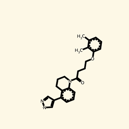 Cc1cccc(OCCCC(=O)N2CCCc3c(C4=C[N]N=C4)cccc32)c1C